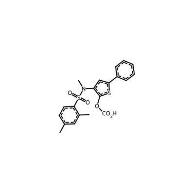 Cc1ccc(S(=O)(=O)N(C)c2cc(-c3ccccc3)sc2OC(=O)O)c(C)c1